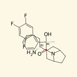 C[C@](O)(C(=O)N1C2CCC1CC([C@H](N)Cc1cc(F)c(F)cc1F)C2)c1ccccc1